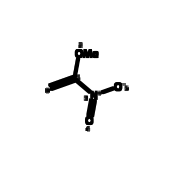 C=C(OC)[N+](=O)[O-]